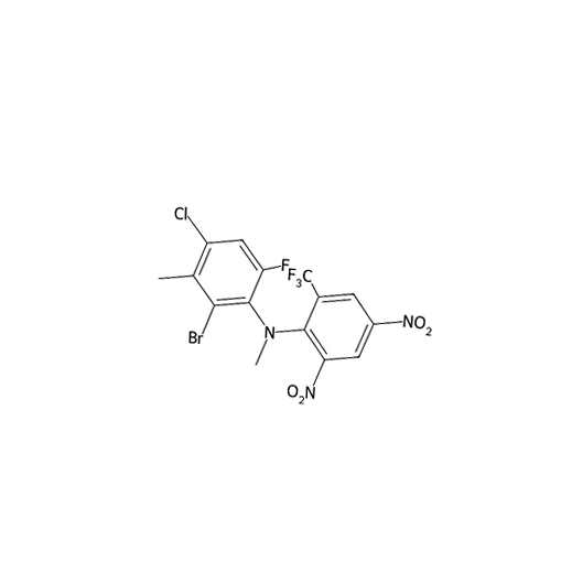 Cc1c(Cl)cc(F)c(N(C)c2c([N+](=O)[O-])cc([N+](=O)[O-])cc2C(F)(F)F)c1Br